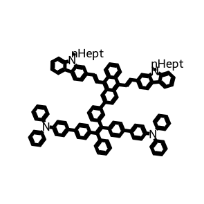 CCCCCCCn1c2ccccc2c2ccc(/C=C/c3c4ccccc4c(/C=C/c4ccc5c6ccccc6n(CCCCCCC)c5c4)c4cc(-c5cccc(/C(=C(/c6ccccc6)c6ccc(-c7ccc(N(c8ccccc8)c8ccccc8)cc7)cc6)c6ccc(-c7ccc(N(c8ccccc8)c8ccccc8)cc7)cc6)c5)ccc34)cc21